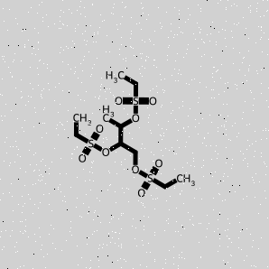 CCS(=O)(=O)OCC(OS(=O)(=O)CC)C(C)OS(=O)(=O)CC